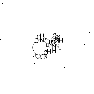 C=C[C@@H]1C[C@]1(NC(=O)[C@@H]1C[C@@H]2CN1C(=O)[C@H](C(C)(C)C)NC(=O)OCCCCCc1cc(C)c3ccnc(c3c1)O2)C(=O)NS(=O)(=O)C1CC1